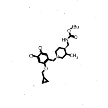 CC1CN(Cc2cc(Cl)c(Cl)cc2OCC2CC2)CC[C@H]1CNC(=O)OC(C)(C)C